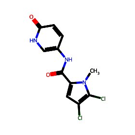 Cn1c(C(=O)Nc2ccc(=O)[nH]c2)cc(Cl)c1Cl